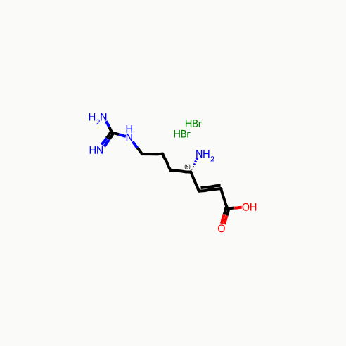 Br.Br.N=C(N)NCCC[C@H](N)C=CC(=O)O